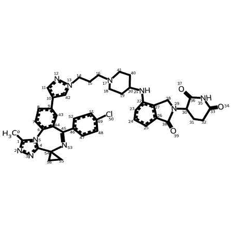 Cc1nnc2n1-c1ccc(-c3cnn(CCCN4CCC(Nc5cccc6c5CN(C5CCC(=O)NC5=O)C6=O)CC4)c3)cc1C(c1ccc(Cl)cc1)=NC21CC1